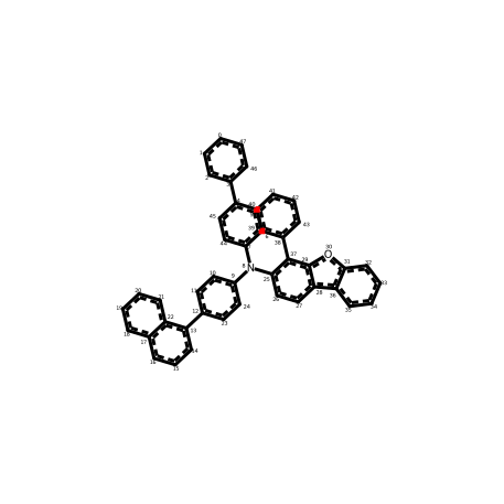 c1ccc(-c2ccc(N(c3ccc(-c4cccc5ccccc45)cc3)c3ccc4c(oc5ccccc54)c3-c3ccccc3)cc2)cc1